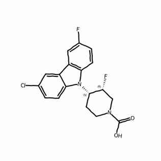 O=C(O)N1CC[C@H](n2c3ccc(F)cc3c3cc(Cl)ccc32)[C@H](F)C1